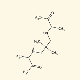 CC(=O)C(C)NCC(C)(C)CNC(C)C(C)=O